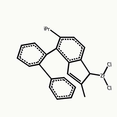 CC1=Cc2c(ccc(C(C)C)c2-c2ccccc2-c2ccccc2)[CH]1[Zr]([Cl])[Cl]